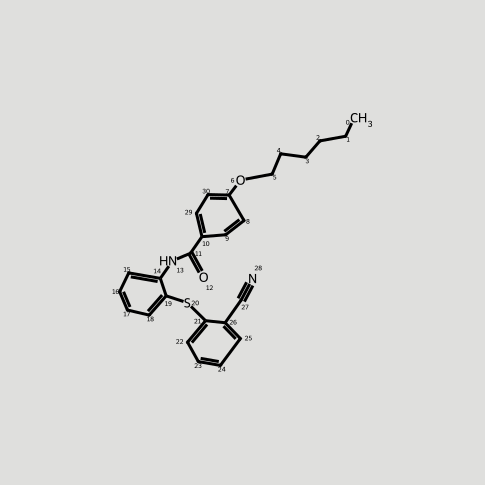 CCCCCCOc1ccc(C(=O)Nc2ccccc2Sc2ccccc2C#N)cc1